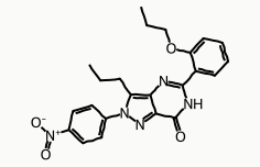 CCCOc1ccccc1-c1nc2c(CCC)n(-c3ccc([N+](=O)[O-])cc3)nc2c(=O)[nH]1